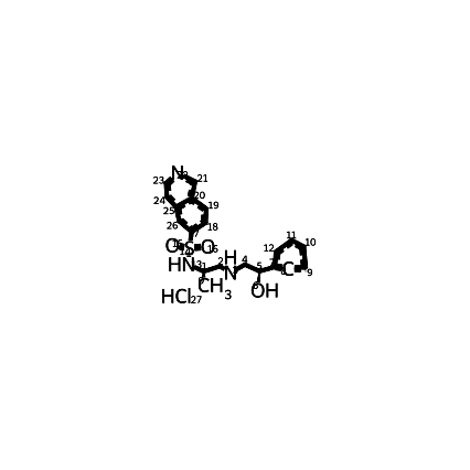 C[C@H](CNC[C@H](O)c1ccccc1)NS(=O)(=O)c1ccc2cnccc2c1.Cl